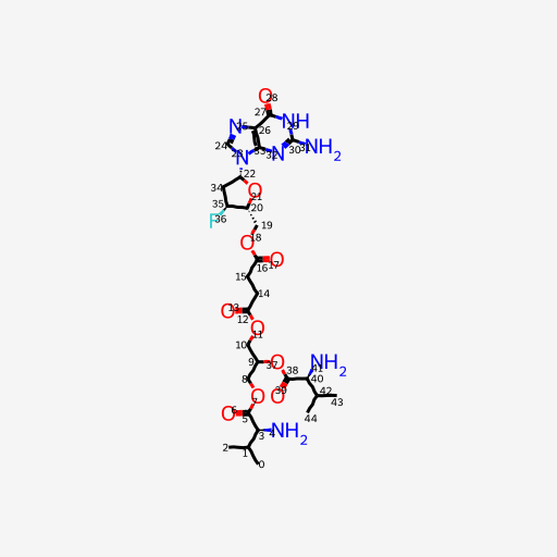 CC(C)[C@H](N)C(=O)OCC(COC(=O)CCC(=O)OC[C@H]1O[C@@H](n2cnc3c(=O)[nH]c(N)nc32)C[C@@H]1F)OC(=O)[C@@H](N)C(C)C